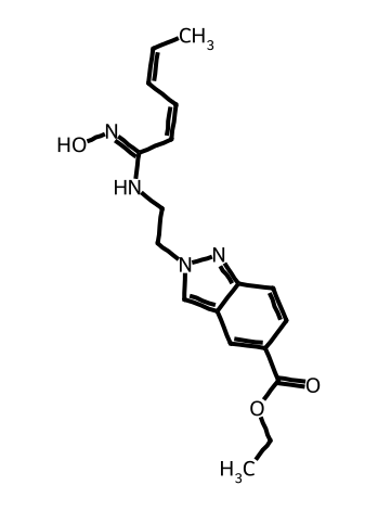 C\C=C/C=C\C(=N\O)NCCn1cc2cc(C(=O)OCC)ccc2n1